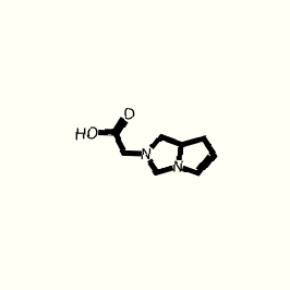 O=C(O)CN1CC2CC=CN2C1